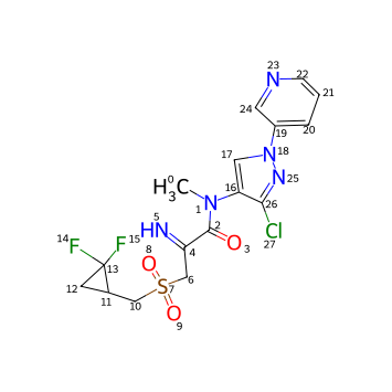 CN(C(=O)C(=N)CS(=O)(=O)CC1CC1(F)F)c1cn(-c2cccnc2)nc1Cl